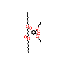 CCCCCCCCOC(=O)CCCCC(=O)OCCCCCCCC.CCCCOC(=O)c1ccccc1C(=O)OCCCC